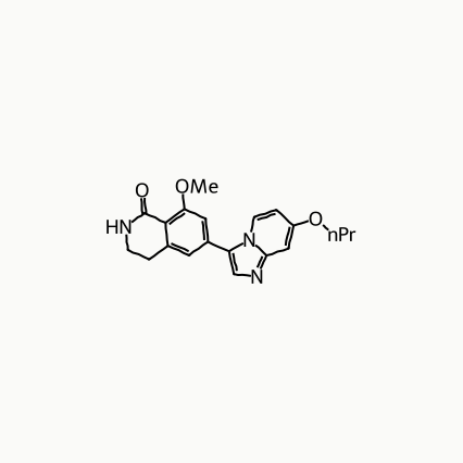 CCCOc1ccn2c(-c3cc4c(c(OC)c3)C(=O)NCC4)cnc2c1